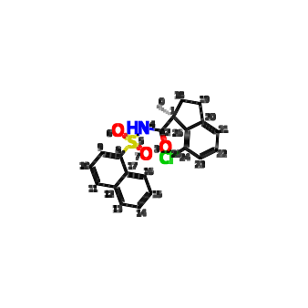 C[C@]1(C(=O)NS(=O)(=O)c2cccc3ccccc23)CCc2cccc(Cl)c21